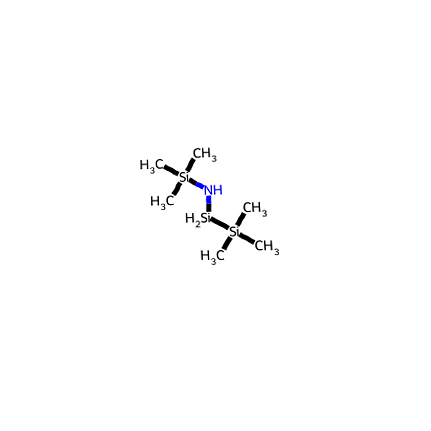 C[Si](C)(C)N[SiH2][Si](C)(C)C